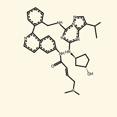 CC(C)c1cnn2c(NCc3ccccc3-c3nccc4cc(NC(=O)/C=C/CN(C)C)ccc34)nc(N[C@H]3CC[C@H](O)C3)nc12